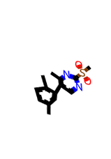 Cc1ccc(C)c(-c2cnc(S(C)(=O)=O)nc2C)c1